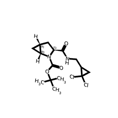 CC(C)(C)OC(=O)N1[C@@H]2C[C@@H]2C[C@H]1C(=O)NCC1CC1(Cl)Cl